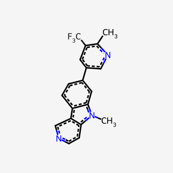 Cc1ncc(-c2ccc3c4cnccc4n(C)c3c2)cc1C(F)(F)F